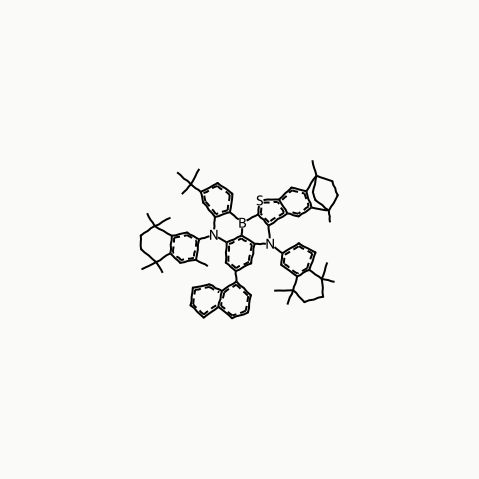 Cc1cc2c(cc1N1c3cc(C(C)(C)C)ccc3B3c4sc5cc6c(cc5c4N(c4ccc5c(c4)C(C)(C)CCC5(C)C)c4cc(-c5cccc7ccccc57)cc1c43)C1(C)CCC6(C)CC1)C(C)(C)CCC2(C)C